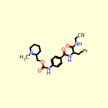 CC(C)CC(NC(=O)c1ccc(NC(=O)OCC2CCCCN2C)cc1)C(=O)NCC#N